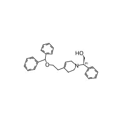 OC[C@@H](c1ccccc1)N1CC=C(CCOC(c2ccccc2)c2ccccc2)CC1